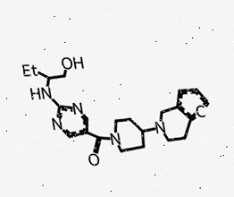 CCC(CO)Nc1ncc(C(=O)N2CCC(N3CCc4ccccc4C3)CC2)cn1